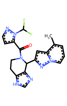 Cc1cccn2nc(C3c4nc[nH]c4CCN3C(=O)c3ccnn3C(F)F)cc12